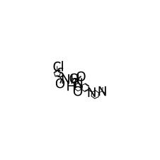 CN(C)[C@H]1CCCN(c2ccc3c(c2)OC[C@H]2[C@H](CNC(=O)c4ccc(Cl)s4)OC(=O)N32)C1